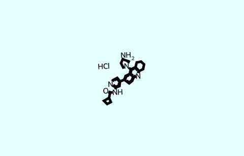 Cl.N[C@H]1CCN(c2c3c(nc4ccc(-c5ccnc(NC(=O)C6CCC6)c5)cc24)CCCC3)C1